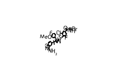 CCCNC(=O)c1cc(F)c(CSc2ncc(C(C)(C)c3ccc4onc(N)c4c3)n2-c2ccc(F)c(OC)c2)c(Cl)c1